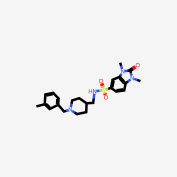 Cc1cccc(CN2CCC(CNS(=O)(=O)c3ccc4c(c3)n(C)c(=O)n4C)CC2)c1